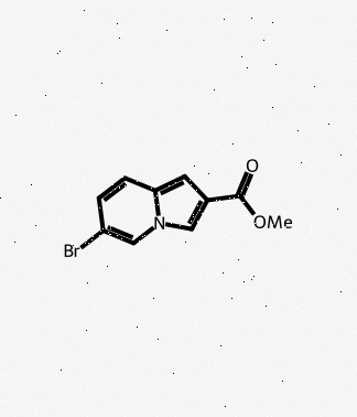 COC(=O)c1cc2ccc(Br)cn2c1